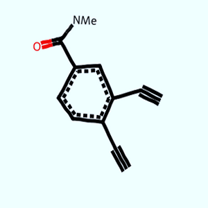 C#Cc1ccc(C(=O)NC)cc1C#C